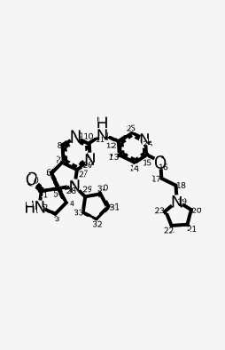 O=C1NCCC12Cc1cnc(Nc3ccc(OCCN4CCCC4)nc3)nc1N2C1CCCC1